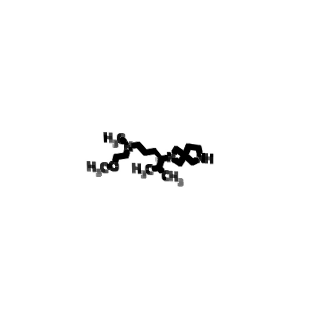 COCCN(C)CCC[C@H](C(C)C)N1CC2(CCNC2)C1